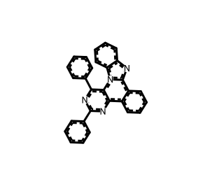 c1ccc(-c2nc(-c3ccccc3)c3c(n2)c2ccccc2c2nc4ccccc4n23)cc1